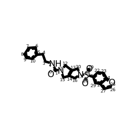 O=C(NCCc1ccccc1)N1CC2=C(C1)CN(S(=O)(=O)c1ccc3occc3c1)C2